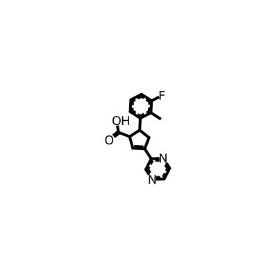 Cc1c(F)cccc1C1CC(c2cnccn2)=CC1C(=O)O